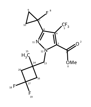 COC(=O)c1c(C(F)(F)F)c(C2(F)CC2)nn1CC1(C)CC(F)(F)C1